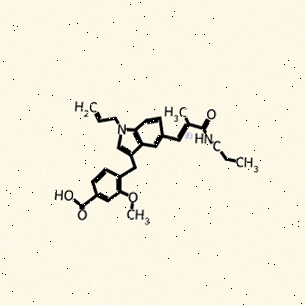 C=CCn1cc(Cc2ccc(C(=O)O)cc2OC)c2cc(/C=C(\C)C(=O)NCCC)ccc21